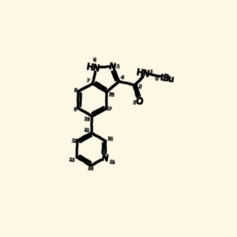 CC(C)(C)NC(=O)c1n[nH]c2ccc(-c3cccnc3)cc12